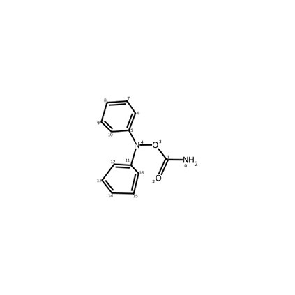 NC(=O)ON(c1ccccc1)c1ccccc1